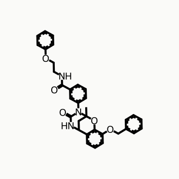 CC12CC(NC(=O)N1c1cccc(C(=O)NCCOc3ccccc3)c1)c1cccc(OCc3ccccc3)c1O2